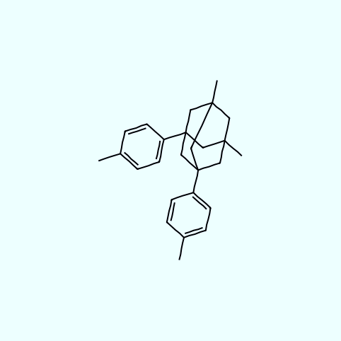 Cc1ccc(C23CC4(C)CC(C)(C2)CC(c2ccc(C)cc2)(C4)C3)cc1